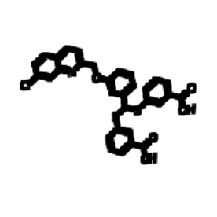 O=C(O)c1cccc(SC(Sc2cccc(C(=O)O)c2)c2cccc(OCc3ccc4ccc(Cl)cc4n3)c2)c1